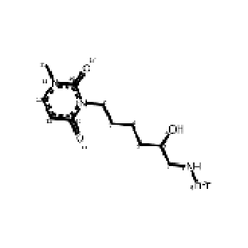 CCCNCC(O)CCCCn1c(=O)ccn(C)c1=O